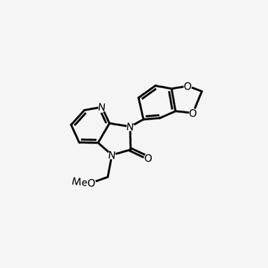 COCn1c(=O)n(-c2ccc3c(c2)OCO3)c2ncccc21